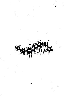 Cc1ncc(NNCN2CCCC2C)cc1NC(=O)/C(N)=C1\C=CC(c2ccn(C3COC3)n2)=CN1